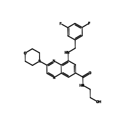 O=C(NCCO)c1cc(NCc2cc(F)cc(F)c2)c2nc(N3CCOCC3)cnc2c1